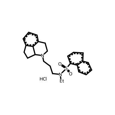 CCN(CCCN1CCc2cccc3c2C1CC3)S(=O)(=O)c1cccc2ccccc12.Cl